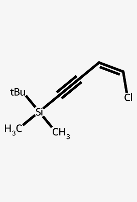 CC(C)(C)[Si](C)(C)C#C/C=C\Cl